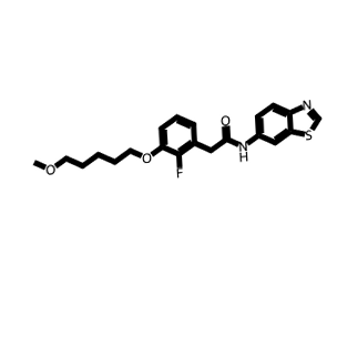 COCCCCCOc1cccc(CC(=O)Nc2ccc3ncsc3c2)c1F